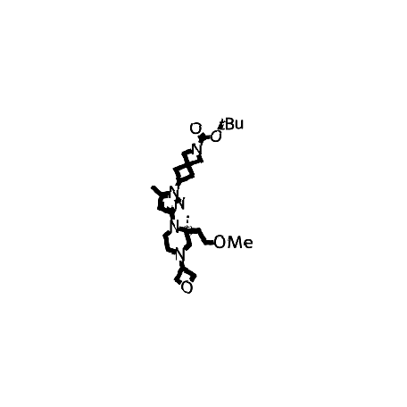 COCC[C@@]1(C)CN(C2COC2)CCN1c1cc(C)n(C2CC3(C2)CN(C(=O)OC(C)(C)C)C3)n1